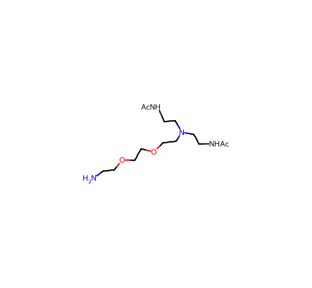 CC(=O)NCCN(CCNC(C)=O)CCOCCOCCN